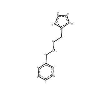 c1ccc(COCCc2nnco2)cc1